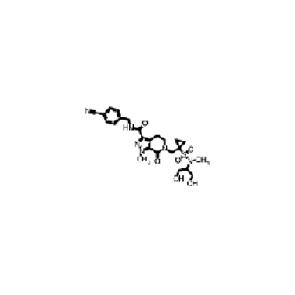 CN(C(CO)CO)S(=O)(=O)C1(CN2CCc3c(C(=O)NCc4ccc(C#N)cc4)nn(C)c3C2=O)CC1